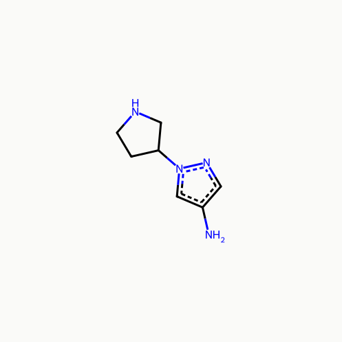 Nc1cnn(C2CCNC2)c1